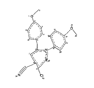 COc1ccc(-c2cc(C#N)c(Cl)nc2-c2ccc(OC)cc2)cc1